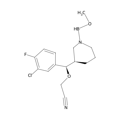 COBN1CCC[C@@H]([C@@H](OCC#N)c2ccc(F)c(Cl)c2)C1